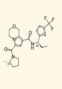 CC[C@@H](NC(=O)c1cc(C(=O)N2CCC[C@@H]2C)n2c1COCC2)c1ccc(C(F)(F)F)s1